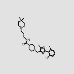 Cc1cccc(Cl)c1-c1nc(CN2CCC(C(=O)NCCCN3CCC(C)(C)CC3)CC2)c(C)o1